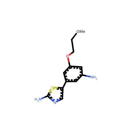 COCCOc1cc(N)cc(-c2[c]nc(N)s2)c1